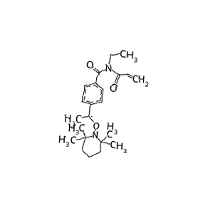 C=CC(=O)N(CC)C(=O)c1ccc([C](C)ON2C(C)(C)CCCC2(C)C)cc1